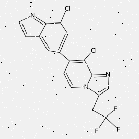 FC(F)(F)Cc1cnc2c(Cl)c(C3=CC(Cl)C4=NC=CC4=C3)ccn12